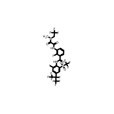 CN(CC(F)(F)F)C(=O)C(=O)Nc1cccc(C(=O)Nc2c(I)cc(C(F)(C(F)(F)F)C(F)(F)F)cc2S(=O)(=O)C(F)(F)F)c1F